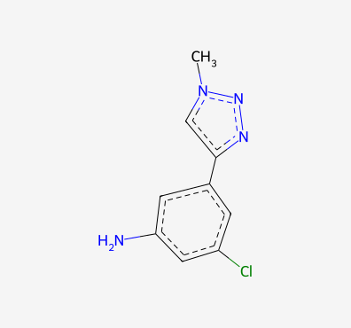 Cn1cc(-c2cc(N)cc(Cl)c2)nn1